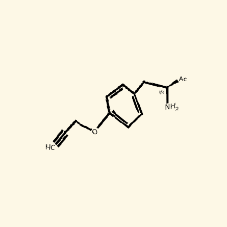 C#CCOc1ccc(C[C@H](N)C(C)=O)cc1